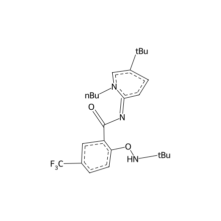 CCCCn1cc(C(C)(C)C)ccc1=NC(=O)c1cc(C(F)(F)F)ccc1ONC(C)(C)C